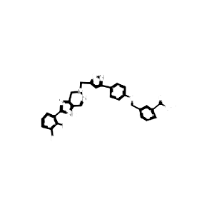 O=C(O)c1cccc(COc2ccc(-c3cc(CN4Cc5nc(-c6cccc(F)c6F)[nH]c5C=N4)on3)cc2)c1